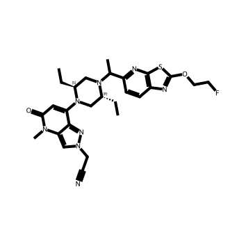 CC[C@H]1CN(C(C)c2ccc3nc(OCCF)sc3n2)[C@H](CC)CN1c1cc(=O)n(C)c2cn(CC#N)nc12